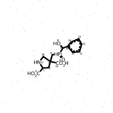 O=C(O)C1CC(C[PH](=O)C(O)c2ccccc2)(C(=O)O)CN1